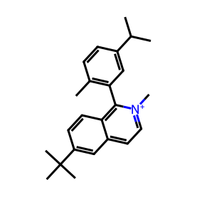 Cc1ccc(C(C)C)cc1-c1c2ccc(C(C)(C)C)cc2cc[n+]1C